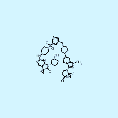 Cn1nc(N2CCC(=O)NC2=O)c2ccc(C3CCN(Cc4cncc(S(=O)(=O)N5CCC(Nc6ncc7c(n6)N([C@H]6CCC[C@H](O)C6)C(=O)C76CC6)CC5)c4)CC3)cc21